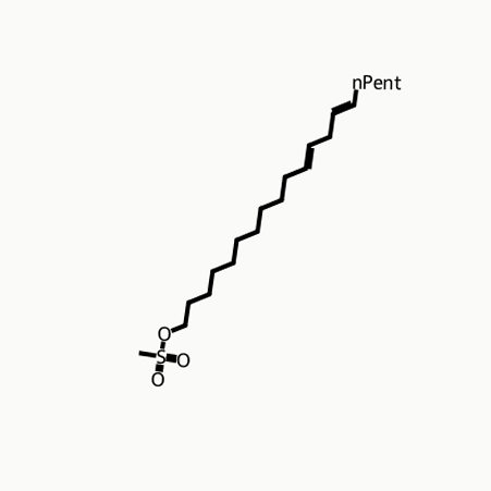 CCCCCC=CCC=CCCCCCCCCCCOS(C)(=O)=O